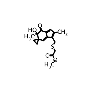 COC(=O)CSCC1=C(C)C=C2C(=O)[C@](C)(O)C3(C=C21)CC3